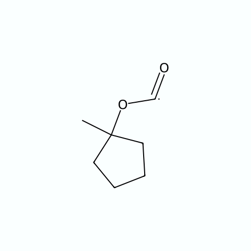 CC1(O[C]=O)CCCC1